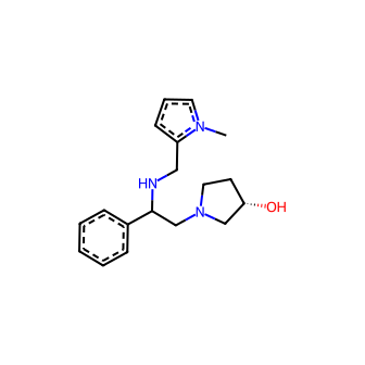 Cn1cccc1CNC(CN1CC[C@H](O)C1)c1ccccc1